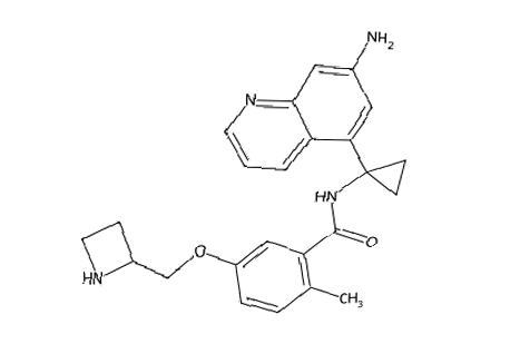 Cc1ccc(OCC2CCN2)cc1C(=O)NC1(c2cc(N)cc3ncccc23)CC1